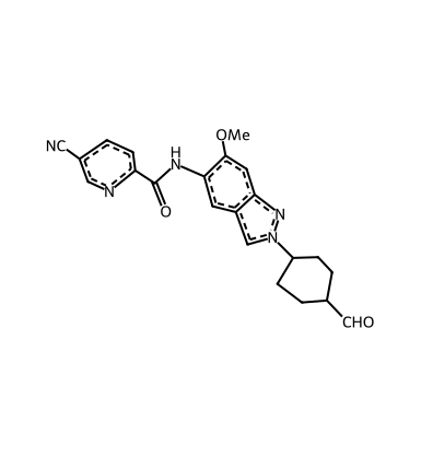 COc1cc2nn(C3CCC(C=O)CC3)cc2cc1NC(=O)c1ccc(C#N)cn1